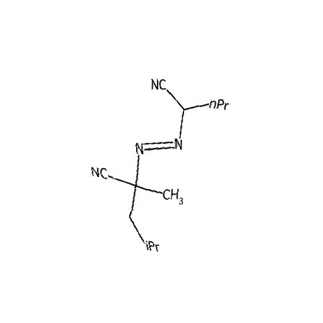 CCCC(C#N)N=NC(C)(C#N)CC(C)C